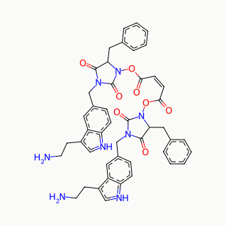 NCCc1c[nH]c2ccc(CN3C(=O)C(Cc4ccccc4)N(OC(=O)/C=C\C(=O)ON4C(=O)N(Cc5ccc6[nH]cc(CCN)c6c5)C(=O)C4Cc4ccccc4)C3=O)cc12